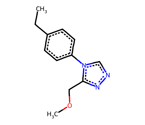 CCc1ccc(-n2cnnc2COC)cc1